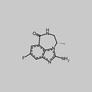 C[C@H]1CNC(=O)c2cc(F)cc3nc(N)n1c23